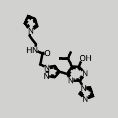 CC(C)c1c(O)nc(-n2ccnc2)nc1-c1cnn(CC(=O)NCCn2cccc2)c1